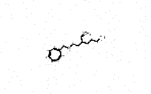 C=CC(CCCO)CCOCC1=CC=CCC=C1